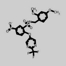 COc1ccc(CNS(=O)(=O)c2cc([N+](=O)[O-])ccc2Oc2cnc(C(F)(F)F)nc2)c(OC)c1